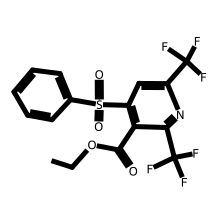 CCOC(=O)c1c(S(=O)(=O)c2ccccc2)cc(C(F)(F)F)nc1C(F)(F)F